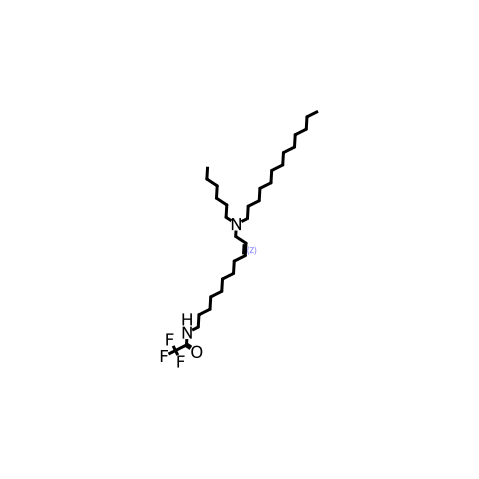 CCCCCCCCCCCCCN(C/C=C\CCCCCCCCNC(=O)C(F)(F)F)CCCCCC